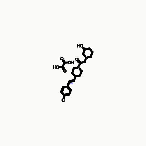 O=C(CN1CCCC(O)C1)N1CCC(/C=C/c2ccc(Cl)cc2)CC1.O=C(O)C(=O)O